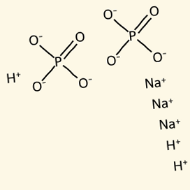 O=P([O-])([O-])[O-].O=P([O-])([O-])[O-].[H+].[H+].[H+].[Na+].[Na+].[Na+]